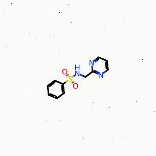 O=S(=O)(NCc1ncccn1)c1[c]cccc1